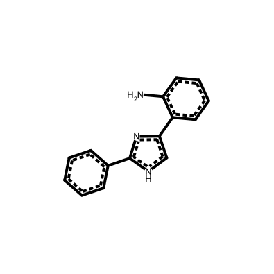 Nc1ccccc1-c1c[nH]c(-c2ccccc2)n1